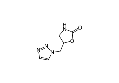 O=C1NCC(Cn2ccnn2)O1